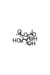 C(OCC1CO1)C1CO1.OCCC(CO)CO